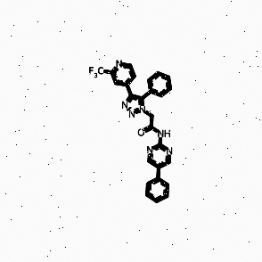 O=C(Cn1nnc(-c2ccnc(C(F)(F)F)c2)c1-c1ccccc1)Nc1ncc(-c2ccccc2)cn1